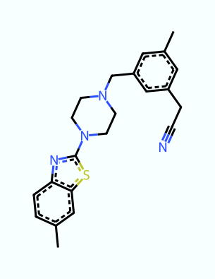 Cc1cc(CC#N)cc(CN2CCN(c3nc4ccc(C)cc4s3)CC2)c1